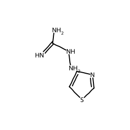 N=C(N)NN.c1cscn1